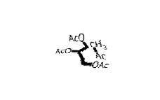 CC(=O)OCC(COC(C)=O)OC(C)=O.CC(C)=O